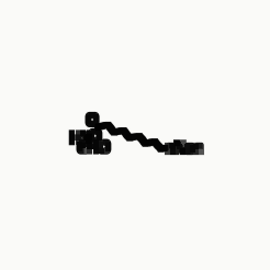 CCCCCCCCCCCCCCCCCC(=O)ONC=O